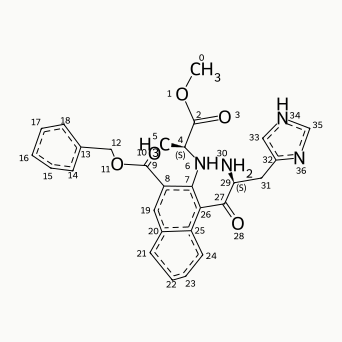 COC(=O)[C@H](C)Nc1c(C(=O)OCc2ccccc2)cc2ccccc2c1C(=O)[C@@H](N)Cc1c[nH]cn1